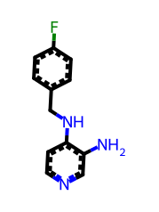 Nc1cnccc1NCc1ccc(F)cc1